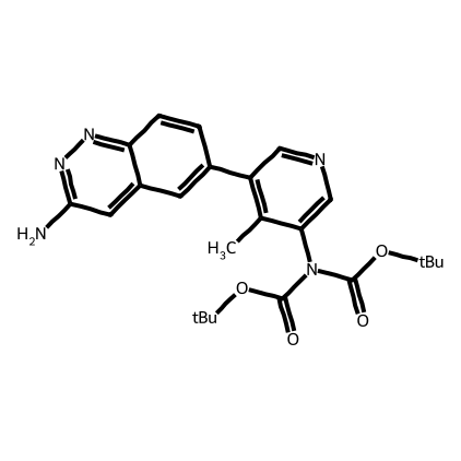 Cc1c(-c2ccc3nnc(N)cc3c2)cncc1N(C(=O)OC(C)(C)C)C(=O)OC(C)(C)C